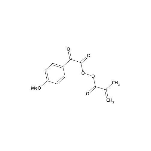 C=C(C)C(=O)OOC(=O)C(=O)c1ccc(OC)cc1